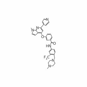 CN1CCN(Cc2ccc(NC(=O)c3cccc(Oc4cc(-c5ccncc5)nc5c4ccn5C)c3)cc2C(F)(F)F)CC1